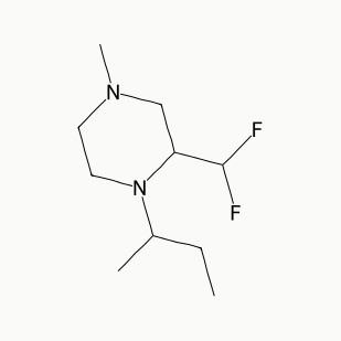 CCC(C)N1CCN(C)CC1C(F)F